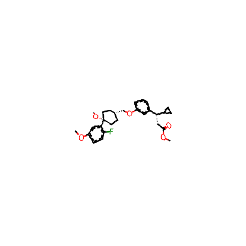 COC(=O)C[C@H](c1cccc(OC[C@H]2CC[C@](OC)(c3cc(OC)ccc3F)CC2)c1)C1CC1